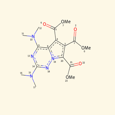 COC(=O)c1c(C(=O)OC)c2c(N(C)C)nc(N(C)C)nn2c1C(=O)OC